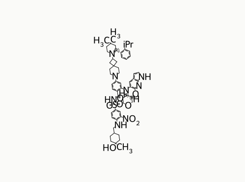 CC(C)c1ccccc1[C@H]1CC(C)(C)CCN1C1CC2(CCN(c3ccc(C(=O)NS(=O)(=O)c4ccc(NCC5CCC(C)(O)CC5)c([N+](=O)[O-])c4)c(N4c5cc6cc[nH]c6nc5O[C@H]5COCC[C@@H]54)c3)CC2)C1